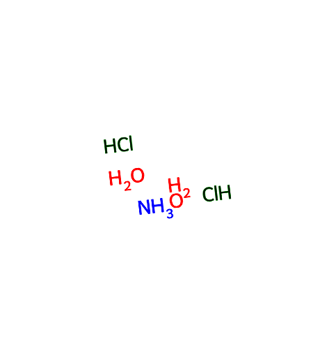 Cl.Cl.N.O.O